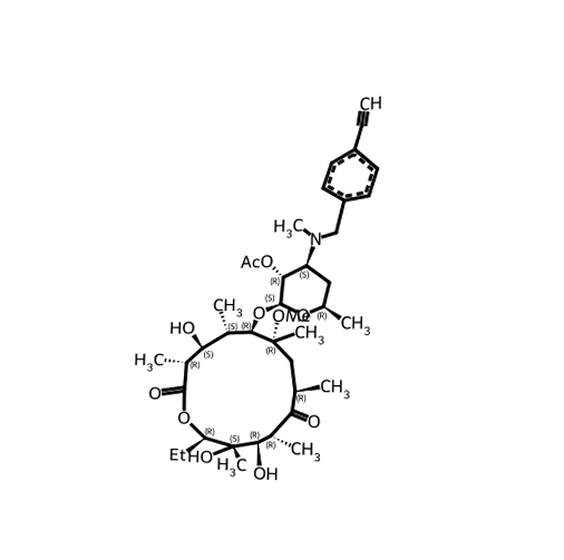 C#Cc1ccc(CN(C)[C@H]2C[C@@H](C)O[C@@H](O[C@@H]3[C@@H](C)[C@H](O)[C@@H](C)C(=O)O[C@H](CC)[C@@](C)(O)[C@H](O)[C@@H](C)C(=O)[C@H](C)C[C@@]3(C)OC)[C@@H]2OC(C)=O)cc1